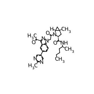 CCCCC(C)NC(=O)[C@@H]1C[C@@]2(C)C[C@H]2N1C(=O)Cn1nc(C(C)=O)c2cc(-c3cnc(C)nc3)ccc21